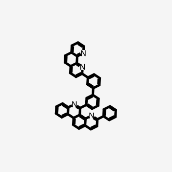 c1ccc(-c2ccc3ccc4c5ccccc5nc(-c5cccc(-c6cccc(-c7ccc8ccc9cccnc9c8n7)c6)c5)c4c3n2)cc1